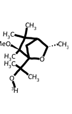 [3H]OC(C)(C)C12CC([C@H](C)O1)C(C)(C)[C@]2(C)OC